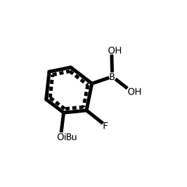 CC(C)COc1cccc(B(O)O)c1F